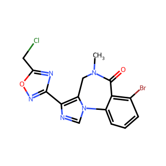 CN1Cc2c(-c3noc(CCl)n3)ncn2-c2cccc(Br)c2C1=O